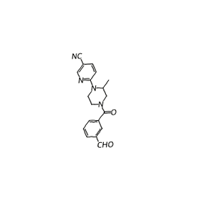 CC1CN(C(=O)c2cccc(C=O)c2)CCN1c1ccc(C#N)cn1